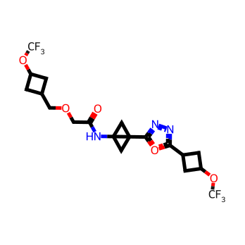 O=C(COCC1CC(OC(F)(F)F)C1)NC12CC1(c1nnc(C3CC(OC(F)(F)F)C3)o1)C2